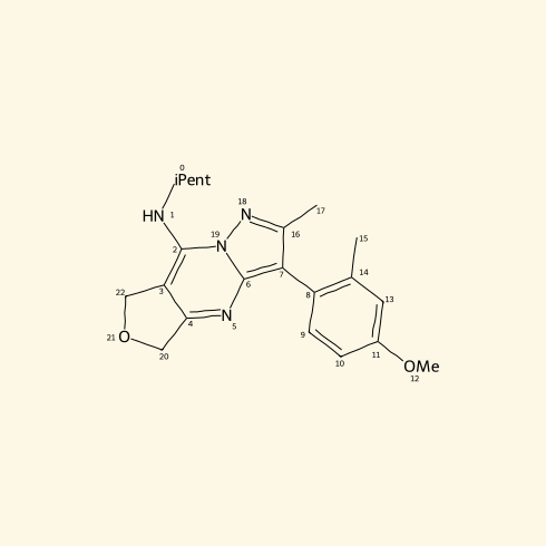 CCCC(C)Nc1c2c(nc3c(-c4ccc(OC)cc4C)c(C)nn13)COC2